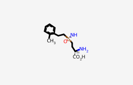 Cc1ccccc1CCS(=N)(=O)CC[C@H](N)C(=O)O